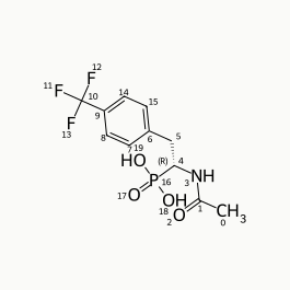 CC(=O)N[C@@H](Cc1ccc(C(F)(F)F)cc1)P(=O)(O)O